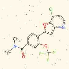 CN(C)C(=O)c1ccc(-c2cc3nccc(Cl)c3o2)c(OC(F)(F)F)c1